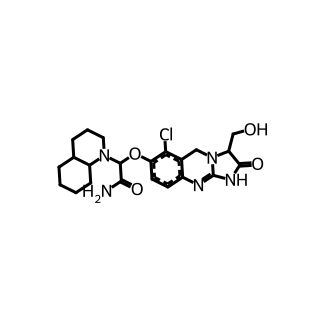 NC(=O)C(Oc1ccc2c(c1Cl)CN1C(=N2)NC(=O)C1CO)N1CCCC2CCCCC21